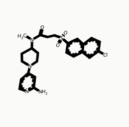 CN(C(=O)CCS(=O)(=O)c1ccc2cc(Cl)ccc2c1)C1CCN(c2ccnc(N)c2)CC1